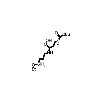 CCO[SiH2]CCCNC(CCNC(=O)C(C)(C)C)OO